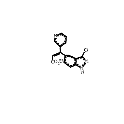 CCOC(=O)/C=C(/c1cccnc1)c1ccc2[nH]nc(Cl)c2c1